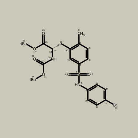 Cc1ccc(S(=O)(=O)Nc2ccc(Br)cc2)cc1C[C@H](NC(=O)OC(C)(C)C)C(=O)OC(C)(C)C